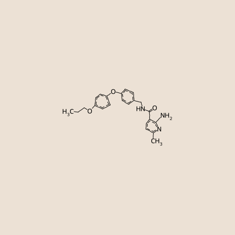 CCCOc1ccc(Oc2ccc(CNC(=O)c3ccc(C)nc3N)cc2)cc1